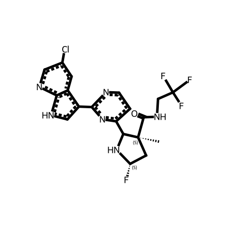 C[C@]1(C(=O)NCC(F)(F)F)C[C@H](F)NC1c1ccnc(-c2c[nH]c3ncc(Cl)cc23)n1